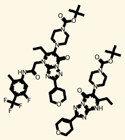 CCc1[nH]c2nc(C3=CCOCC3)nn2c(=O)c1N1CCN(C(=O)OC(C)(C)C)CC1.CCc1c(N2CCN(C(=O)OC(C)(C)C)CC2)c(=O)n2nc(C3=CCOCC3)nc2n1CC(=O)Nc1cc(F)c(C(F)(F)F)cc1C